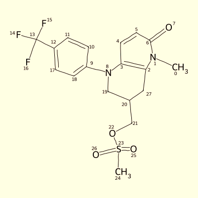 Cn1c2c(ccc1=O)N(c1ccc(C(F)(F)F)cc1)CC(COS(C)(=O)=O)C2